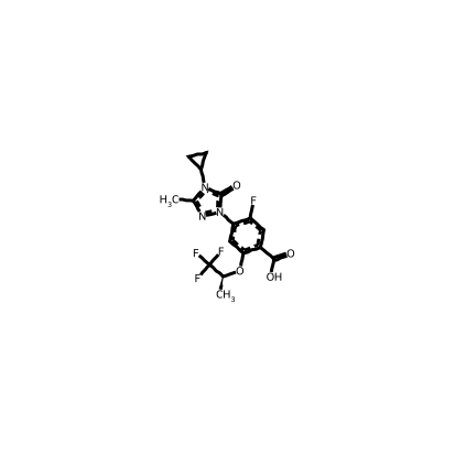 Cc1nn(-c2cc(O[C@@H](C)C(F)(F)F)c(C(=O)O)cc2F)c(=O)n1C1CC1